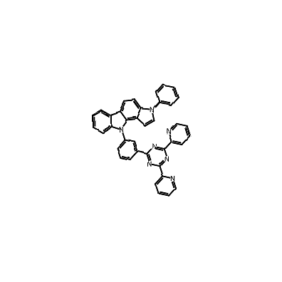 c1ccc(-n2ccc3c2ccc2c4ccccc4n(-c4cccc(-c5nc(-c6ccccn6)nc(-c6ccccn6)n5)c4)c23)cc1